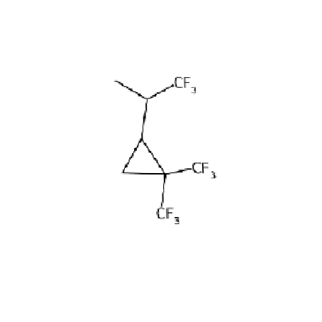 CC(C1CC1(C(F)(F)F)C(F)(F)F)C(F)(F)F